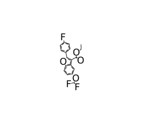 CCOC(=O)c1c(-c2ccc(F)cc2)oc2ccc(OC(F)F)cc12